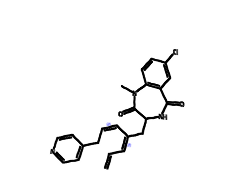 C=C/C=C(\C=C/Cc1ccncc1)CC1NC(=O)c2cc(Cl)ccc2N(C)C1=O